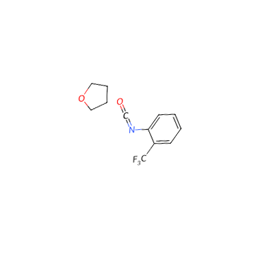 C1CCOC1.O=C=Nc1ccccc1C(F)(F)F